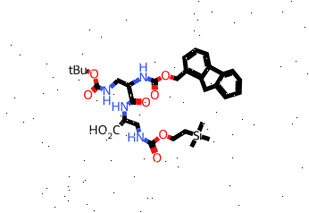 CC(C)(C)OC(=O)NCC(NC(=O)OCc1cccc2c1Cc1ccccc1-2)C(=O)NC(CNC(=O)OCC[Si](C)(C)C)C(=O)O